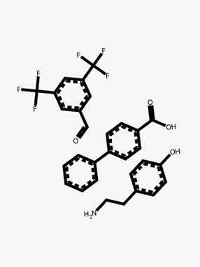 NCCc1ccc(O)cc1.O=C(O)c1ccc(-c2ccccc2)cc1.O=Cc1cc(C(F)(F)F)cc(C(F)(F)F)c1